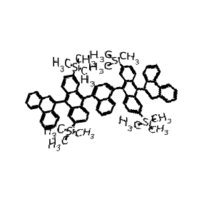 C[Si](C)(C)c1ccc2c(-c3cc4ccccc4c4ccccc34)c3cc([Si](C)(C)C)ccc3c(-c3ccc(-c4c5cc([Si](C)(C)C)ccc5c(-c5cc6ccccc6c6ccccc56)c5cc([Si](C)(C)C)ccc45)c4ccccc34)c2c1